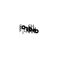 Cc1cc(-c2nc3c([nH]2)CCCC3)cc2nc(C(F)(F)F)c(CC3CCC(F)(F)CC3)n12